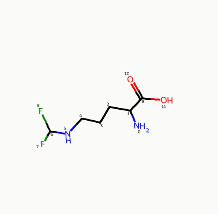 NC(CCCNC(F)F)C(=O)O